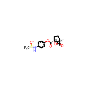 CC1(C)[C@@]2(C)CC[C@]1(C(=O)Oc1ccc(N[S+]([O-])C(F)(F)F)cc1)OC2=O